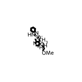 [2H]C([2H])(CCOC)Oc1ccnc(C[S+]([O-])c2nc3ccccc3[nH]2)c1C